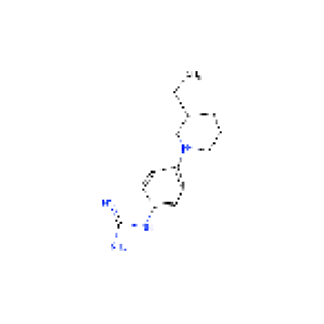 CCC1CCCN(c2ccc(NC(=N)N)cc2)C1